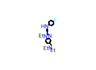 CCN(CC)Cc1ccc2c(c1)nc(C#CNc1ccc(F)cc1)n2CC